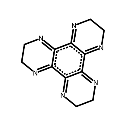 C1CN=c2c(c3c(c4c2=NCCN=4)=NCCN=3)=N1